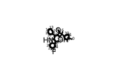 Cc1ccc(C2(C)C(=O)C(C(c3ccccc3)c3[nH]c4ccc(F)cc4c3C)=C2O)cc1